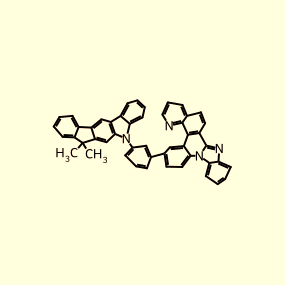 CC1(C)c2ccccc2-c2cc3c4ccccc4n(-c4cccc(-c5ccc6c(c5)c5c(ccc7cccnc75)c5nc7ccccc7n65)c4)c3cc21